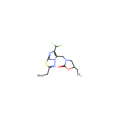 COCc1nn2c(CN3CC(CC(F)(F)F)OC3=O)c(C(F)F)nc2s1